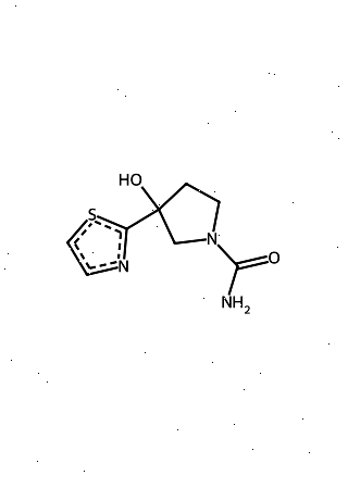 NC(=O)N1CCC(O)(c2nccs2)C1